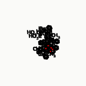 CC[C@H](C)[C@H](NC(=O)[C@H](Cc1ccccc1)N(C)C(=O)[C@H](Cc1c[nH]c2ccccc12)NC(=O)[C@H](Cc1ccccc1)N(C)C(=O)[C@H](Cc1c[nH]c2ccccc12)NC(=O)[C@@H](Cc1ccc(OC(C)(C)C)c(Cl)c1)NC(=O)[C@H](Cc1ccccc1)N(C)C(=O)[C@@H](N)[C@@H](C)OC1CCCCO1)C(=O)N[C@@H](CC(=O)O)C(=O)O